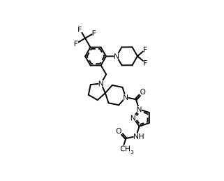 CC(=O)Nc1ccn(C(=O)N2CCC3(CCCN3Cc3ccc(C(F)(F)F)cc3N3CCC(F)(F)CC3)CC2)n1